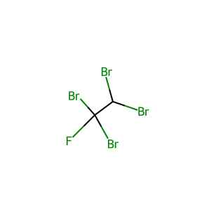 FC(Br)(Br)C(Br)Br